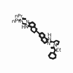 C=C(CCC)N(CCC)Cc1nc2ccc3c(c2[nH]1)CCC(c1ccc2c(ccc4nc(C5CCCN5C(=C)C(CC)C5=CC=C=CC=C5)[nH]c42)c1)=C3